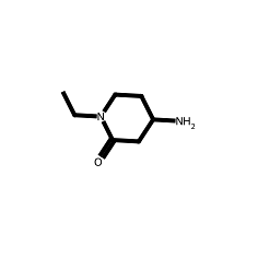 CCN1CCC(N)CC1=O